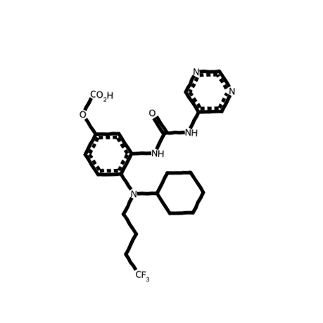 O=C(Nc1cncnc1)Nc1cc(OC(=O)O)ccc1N(CCCC(F)(F)F)C1CCCCC1